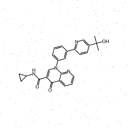 CC(C)(O)c1ccc(-c2cccc(-n3cc(C(=O)NC4CC4)c(=O)c4cccnc43)c2)nc1